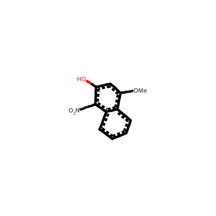 COc1cc(O)c([N+](=O)[O-])c2ccccc12